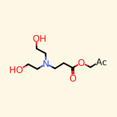 CC(=O)COC(=O)CCN(CCO)CCO